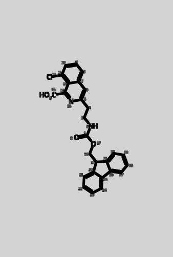 O=C(NCCc1cc2cccc(Cl)c2c(C(=O)O)n1)OCC1c2ccccc2-c2ccccc21